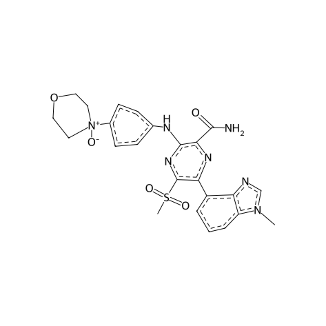 Cn1cnc2c(-c3nc(C(N)=O)c(Nc4ccc([N+]5([O-])CCOCC5)cc4)nc3S(C)(=O)=O)cccc21